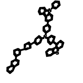 c1ccc(-n2c3ccccc3c3cc(-c4ccc(N(c5ccc(-c6ccc(-c7cccc(-c8ccc9ccccc9c8)c7)cc6)cc5)c5ccc(-c6cccc7sc8ccccc8c67)cc5)cc4)ccc32)cc1